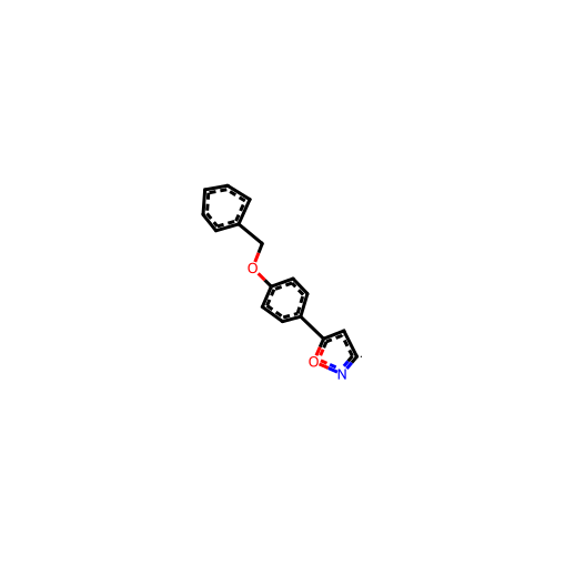 [c]1cc(-c2ccc(OCc3ccccc3)cc2)on1